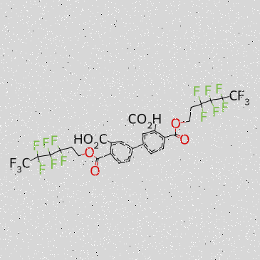 O=C(O)c1cc(-c2ccc(C(=O)OCCC(F)(F)C(F)(F)C(F)(F)C(F)(F)F)c(C(=O)O)c2)ccc1C(=O)OCCC(F)(F)C(F)(F)C(F)(F)C(F)(F)F